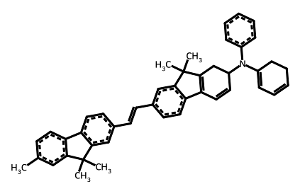 Cc1ccc2c(c1)C(C)(C)c1cc(/C=C/c3ccc4c(c3)C(C)(C)C3=C4C=CC(N(C4=CC=CCC4)c4ccccc4)C3)ccc1-2